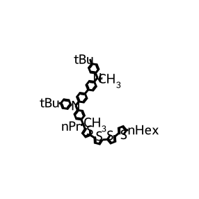 CCCCCCc1ccc(-c2ccc(-c3ccc(-c4ccc(C(C)(CCC)c5ccc(N(c6ccc(-c7ccc(N(C)c8ccc(C(C)(C)C)cc8)cc7)cc6)c6ccc(C(C)(C)C)cc6)cc5)s4)s3)s2)s1